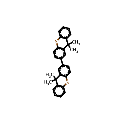 CC1(C)c2ccccc2Sc2ccc(-c3ccc4c(c3)C(C)(C)c3ccccc3S4)cc21